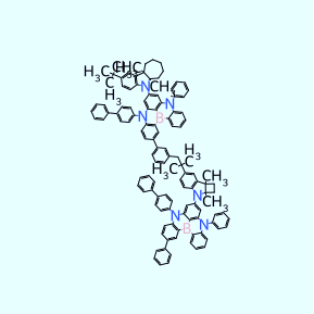 CC(C)(C)c1ccc2c(c1)C1(C)CCCCCC1(C)N2c1cc2c3c(c1)N(c1ccc(-c4ccccc4)cc1)c1ccc(-c4cccc(CC(C)(C)c5ccc6c(c5)C5(C)CCC5(C)N6c5cc6c7c(c5)N(c5ccc(-c8ccccc8)cc5)c5ccc(-c8ccccc8)cc5B7c5ccccc5N6c5ccccc5)c4)cc1B3c1ccccc1N2c1ccccc1